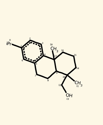 CC(C)c1ccc2c(c1)CCC1C(C)(CO)CCCC21C